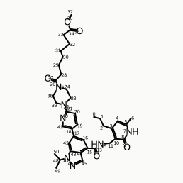 CCCc1cc(C)[nH]c(=O)c1CNC(=O)c1cc(-c2ccc(N3CCN(C(=O)CCCCCCC(=O)OC)CC3)nc2)cc2c1cnn2C(C)C